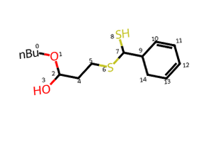 CCCCOC(O)CCSC(S)C1C=CC=CC1